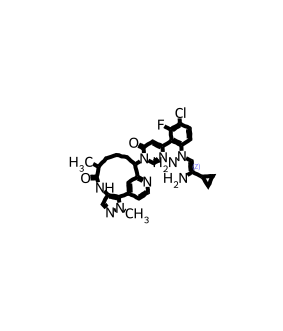 CC1CCCC(n2cnc(-c3c(N(N)/C=C(\N)C4CC4)ccc(Cl)c3F)cc2=O)c2cc(ccn2)-c2c(cnn2C)NC1=O